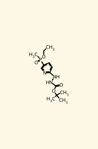 CCOP(C)(=O)c1ccc(NNC(=O)OC(C)(C)C)nc1